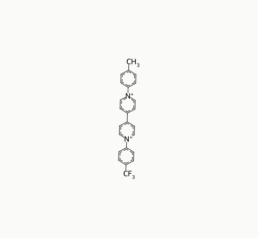 Cc1ccc(-[n+]2ccc(-c3cc[n+](-c4ccc(C(F)(F)F)cc4)cc3)cc2)cc1